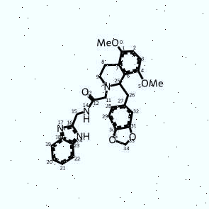 COc1ccc(OC)c2c1CCN(CC(=O)NCc1nc3ccccc3[nH]1)C2Cc1ccc2c(c1)OCO2